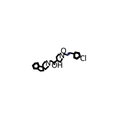 O=C(/C=C/c1ccc(Cl)cc1)N1CCC(C(O)CN2CCC3(CCc4ccccc43)CC2)CC1